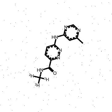 [2H]C([2H])([2H])NC(=O)c1ccc(Nc2cc(C)ncn2)nn1